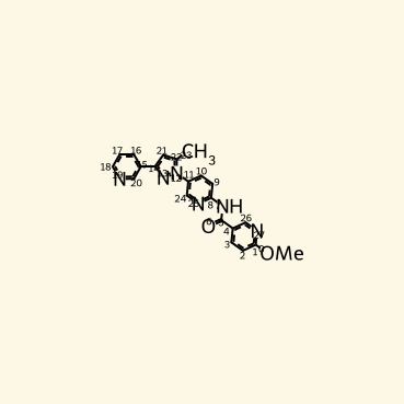 COc1ccc(C(=O)Nc2ccc(-n3nc(-c4cccnc4)cc3C)cn2)cn1